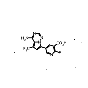 Nc1ncnn2c(-c3cnc(F)c(C(=O)O)c3)cc(C(F)(F)F)c12